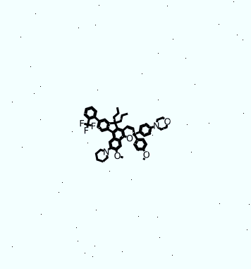 CCCC1(CCC)c2cc(-c3ccccc3C(F)(F)F)ccc2-c2c1c1c(c3cc(OC)c(N4CCCCC4)cc23)OC(c2ccc(OC)cc2)(c2ccc(N3CCOCC3)cc2)C=C1